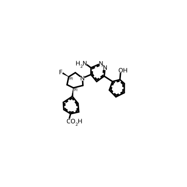 Nc1nnc(-c2ccccc2O)cc1N1C[C@H](F)C[C@H](c2ccc(C(=O)O)cc2)C1